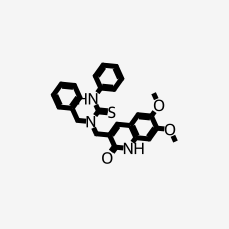 COc1cc2cc(CN(Cc3ccccc3)C(=S)Nc3ccccc3)c(=O)[nH]c2cc1OC